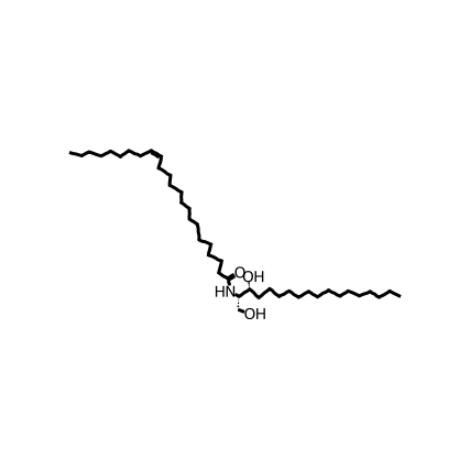 CCCCCCCC/C=C\CCCCCCCCCCCCCC(=O)N[C@@H](CO)[C@H](O)CCCCCCCCCCCCCCC